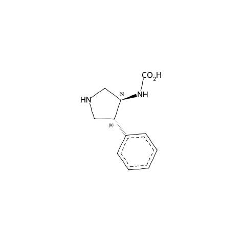 O=C(O)N[C@@H]1CNC[C@H]1c1ccccc1